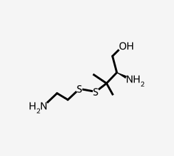 CC(C)(SSCCN)[C@H](N)CO